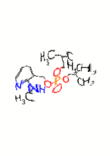 CNc1ncccc1COP(=O)(OCC(C)C)OCC(C)C